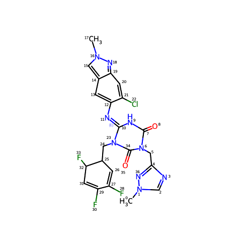 Cn1cnc(Cn2c(=O)[nH]/c(=N\c3cc4cn(C)nc4cc3Cl)n(CC3C=C(F)C(F)=CC3F)c2=O)n1